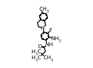 Cc1ccc2c(c1)CCN(c1ccc(NC(=O)CC(C)(C)C)c(N)c1F)C2